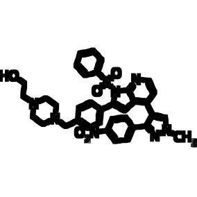 Cn1cc(-c2ccnc3c2cc(-c2ccc(CN4CCN(CCO)CC4)cc2)n3S(=O)(=O)c2ccccc2)c(-c2ccc([N+](=O)[O-])cc2)n1